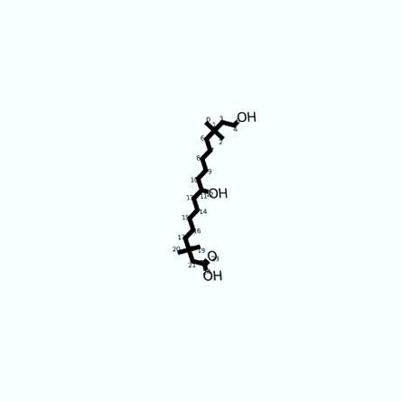 CC(C)(CCO)CCCCCC(O)CCCCCC(C)(C)CC(=O)O